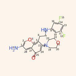 Nc1coc2c(CCNc3cc(F)cc(F)c3)c(N3CCOCC3)cc(=O)c-2c1